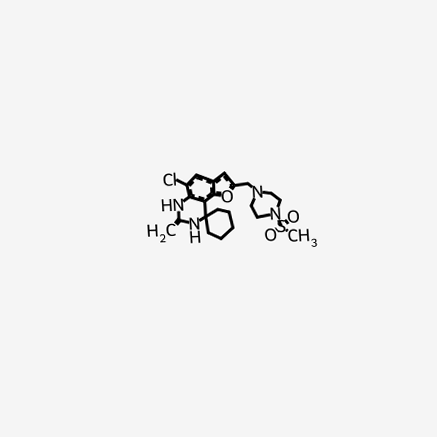 C=C1Nc2c(Cl)cc3cc(CN4CCN(S(C)(=O)=O)CC4)oc3c2C2(CCCCC2)N1